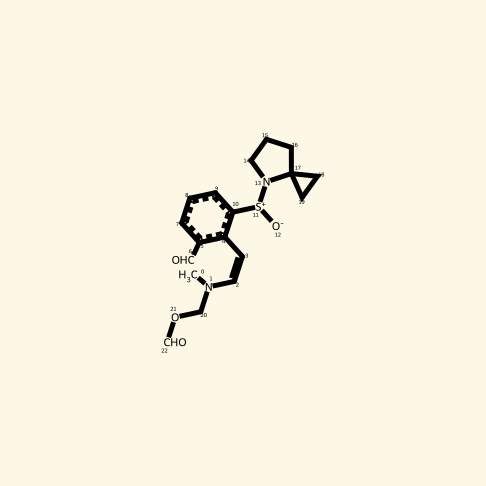 CN(/C=C\c1c(C=O)cccc1[S+]([O-])N1CCCC12CC2)COC=O